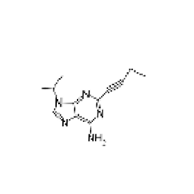 CCC#Cc1nc(N)c2ncn(C(C)C)c2n1